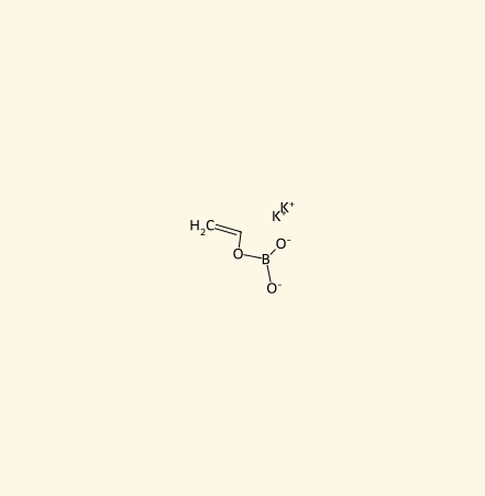 C=COB([O-])[O-].[K+].[K+]